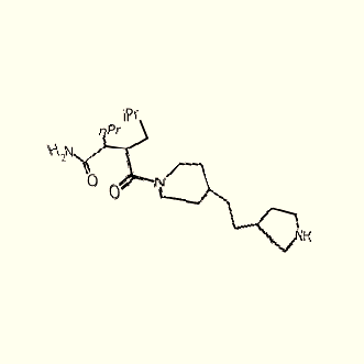 CCCC(C(N)=O)C(CC(C)C)C(=O)N1CCC(CCC2CCNCC2)CC1